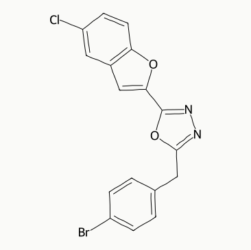 Clc1ccc2oc(-c3nnc(Cc4ccc(Br)cc4)o3)cc2c1